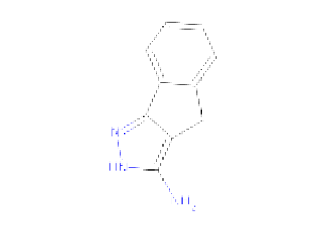 Nc1[nH]nc2c1Cc1ccccc1-2